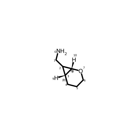 NCC1[C@H]2CCCO[C@@H]12